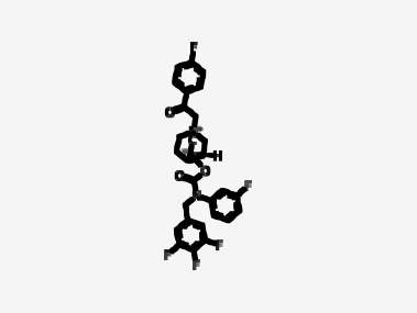 O=C(C[N+]12CCC(CC1)[C@@H](OC(=O)N(Cc1cc(F)c(F)c(F)c1)c1cccc(F)c1)C2)c1ccc(F)cc1